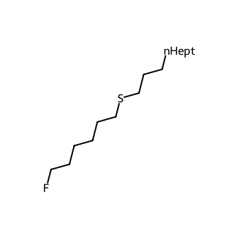 [CH2]CCCCCCCCCSCCCCCCF